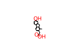 Cc1c(CC(=O)O)ccc2c1Cc1cc(O)ccc1-2